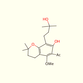 COc1c2c(c(CCC(C)(C)O)c(O)c1C(C)=O)OC(C)(C)CC2